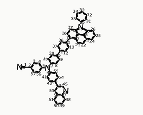 N#Cc1ccc(N(c2ccc(-c3ccc(-c4ccc5c6c4ccc4cccc(c46)n5-c4ccccc4)cc3)cc2)c2ccc(-c3cnc4ccccc4c3)cc2)cc1